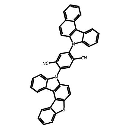 N#Cc1cc(-n2c3ccccc3c3c4c(ccc32)sc2ccccc24)c(C#N)cc1-n1c2ccccc2c2c3ccccc3ccc21